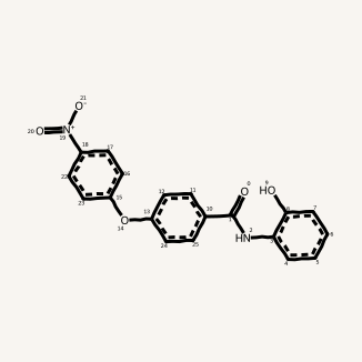 O=C(Nc1ccccc1O)c1ccc(Oc2ccc([N+](=O)[O-])cc2)cc1